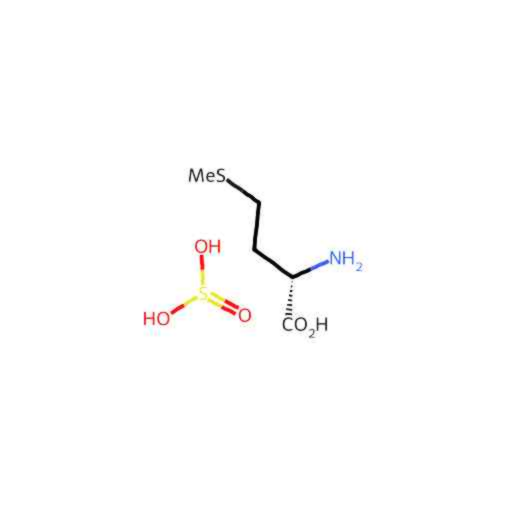 CSCC[C@H](N)C(=O)O.O=S(O)O